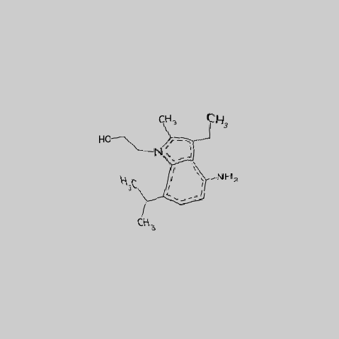 CCc1c(C)n(CCO)c2c(C(C)C)ccc(N)c12